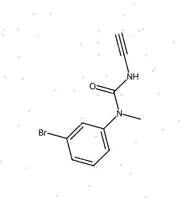 C#CNC(=O)N(C)c1cccc(Br)c1